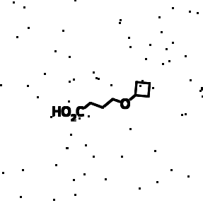 O=C(O)CCCOC1CCC1